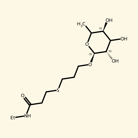 CCNC(=O)CCSCCCO[C@H]1OC(C)[C@@H](O)C(O)[C@@H]1O